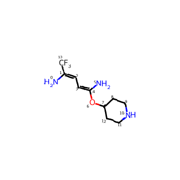 N/C(=C\C=C(/N)OC1CCNCC1)C(F)(F)F